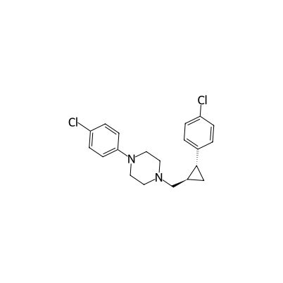 Clc1ccc([C@@H]2C[C@H]2CN2CCN(c3ccc(Cl)cc3)CC2)cc1